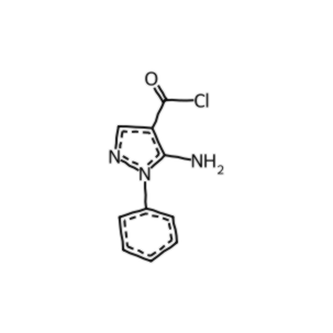 Nc1c(C(=O)Cl)cnn1-c1ccccc1